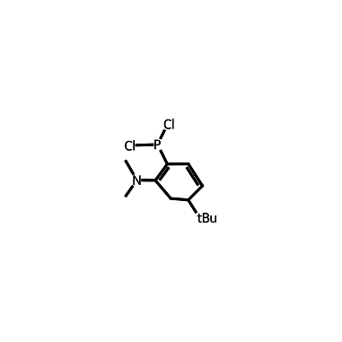 CN(C)C1=C(P(Cl)Cl)C=CC(C(C)(C)C)C1